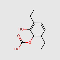 CCc1ccc(CC)c(OC(=O)O)c1O